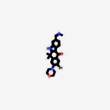 C/N=C\c1ccc2c3c([nH]c2c1)C(C)(C)c1cc(N2CCOCC2)c(C(C)=O)cc1C3=O